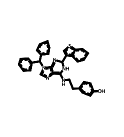 Oc1ccc(CCNC2=c3ncn(C(c4ccccc4)c4ccccc4)c3=NC(c3csc4ccccc34)N2)cc1